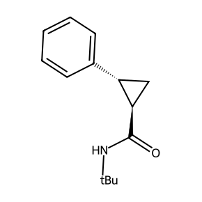 CC(C)(C)NC(=O)[C@@H]1C[C@H]1c1ccccc1